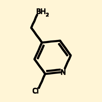 BCc1ccnc(Cl)c1